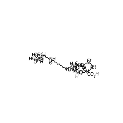 CCN1CCN(CC)CCN(CC(=O)O)C(Cc2ccc(Nc3nc(N(C)C)nc(N4CCN(CCCCCCCCCCC(=O)NCCCC[C@H](NC(=O)N[C@]5(CCC(=O)O)COC5O)C(=O)O)CC4)n3)cc2)CN(CC(=O)O)CC1